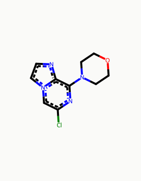 Clc1cn2ccnc2c(N2CCOCC2)n1